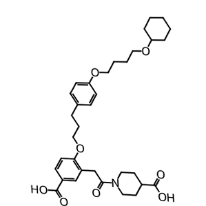 O=C(O)c1ccc(OCCCc2ccc(OCCCCOC3CCCCC3)cc2)c(CC(=O)N2CCC(C(=O)O)CC2)c1